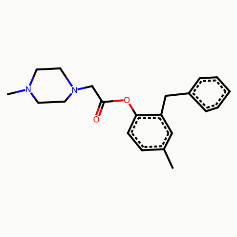 Cc1ccc(OC(=O)CN2CCN(C)CC2)c(Cc2ccccc2)c1